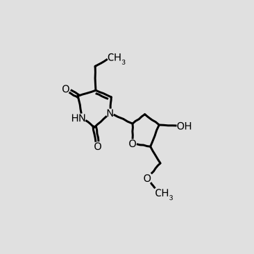 CCc1cn(C2CC(O)C(COC)O2)c(=O)[nH]c1=O